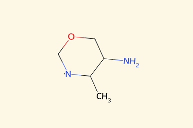 CC1[N]COCC1N